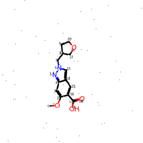 COc1cc2nn(CC3CCOC3)cc2cc1C(=O)O